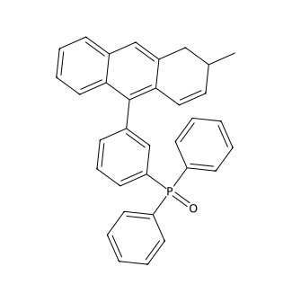 CC1C=Cc2c(cc3ccccc3c2-c2cccc(P(=O)(c3ccccc3)c3ccccc3)c2)C1